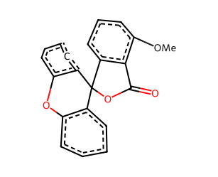 COc1cccc2c1C(=O)OC21c2ccccc2Oc2ccccc21